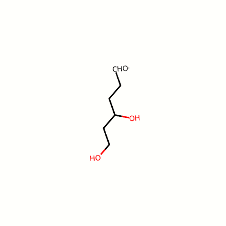 O=[C]CCC(O)CCO